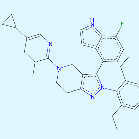 CCc1cccc(CC)c1-n1nc2c(c1-c1ccc(F)c3[nH]ccc13)CN(C1=NC=C(C3CC3)CC1C)CC2